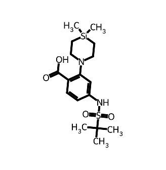 CC(C)(C)S(=O)(=O)Nc1ccc(C(=O)O)c(N2CC[Si](C)(C)CC2)c1